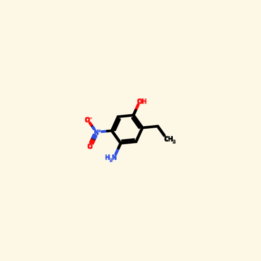 CCc1cc(N)c([N+](=O)[O-])cc1O